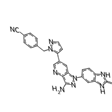 N#Cc1ccc(Cn2nccc2-c2cnc3c(N)nn(-c4ccc5[nH]c(=O)[nH]c5c4)c3c2)cc1